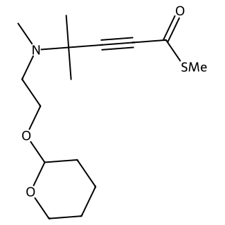 CSC(=O)C#CC(C)(C)N(C)CCOC1CCCCO1